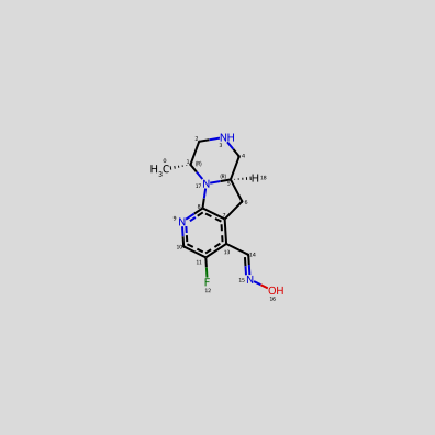 C[C@@H]1CNC[C@H]2Cc3c(ncc(F)c3C=NO)N21